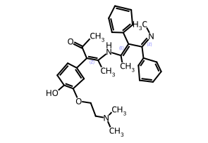 C/N=C(\C(=C(/C)N/C(C)=C(\C(C)=O)c1ccc(O)c(OCCN(C)C)c1)c1ccccc1)c1ccccc1